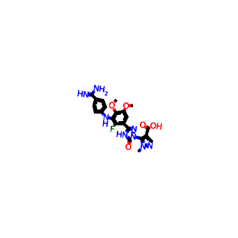 COc1cc(-c2nn(-c3c(C(=O)O)cnn3C)c(=O)[nH]2)c(F)c(Nc2ccc(C(=N)N)cc2)c1OC